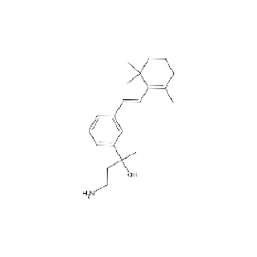 CC1=C(C=Cc2cccc(C(C)(O)CCN)c2)C(C)(C)CCC1